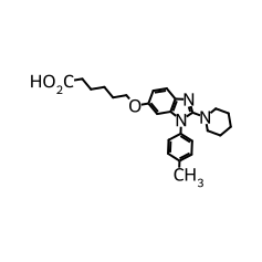 Cc1ccc(-n2c(N3CCCCC3)nc3ccc(OCCCCCC(=O)O)cc32)cc1